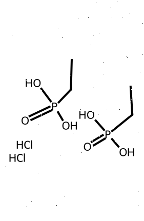 CCP(=O)(O)O.CCP(=O)(O)O.Cl.Cl